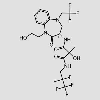 CC(O)(C(=O)NCC(F)(F)C(F)(F)F)C(=O)N[C@H]1CN(CC(F)(F)F)c2ccccc2N(CCO)C1=O